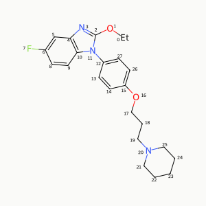 CCOc1nc2cc(F)ccc2n1-c1ccc(OCCCN2CCCCC2)cc1